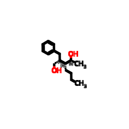 CCCC[C@H]([C@H](CO)Cc1ccccc1)[C@H](C)O